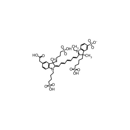 CC[N+]1=C(/C=C/C=C/C=C/C=C2/N(CCCCS(=O)(=O)O)c3ccc(CC(=O)O)cc3C2(C)CCCCS(=O)(=O)O)C(C)(CCCCS(=O)(=O)O)c2cc(S(=O)(=O)[O-])ccc21